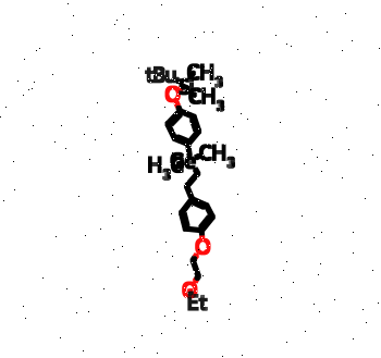 CCOCCOc1ccc(C[CH2][Ge]([CH3])([CH3])[c]2ccc(O[Si](C)(C)C(C)(C)C)cc2)cc1